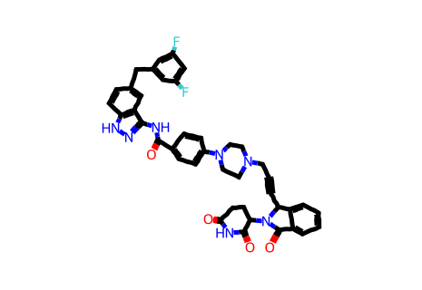 O=C1CCC(N2C(=O)c3ccccc3C2C#CCN2CCN(c3ccc(C(=O)Nc4n[nH]c5ccc(Cc6cc(F)cc(F)c6)cc45)cc3)CC2)C(=O)N1